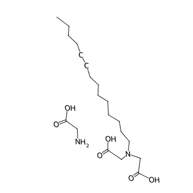 CCCCCCCCCCCCCCN(CC(=O)O)CC(=O)O.NCC(=O)O